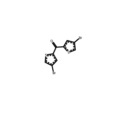 O=C(c1cc(Br)cs1)c1cc(Br)cs1